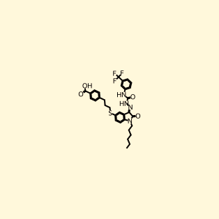 CCCCCCN1C(=O)/C(=N/NC(=O)Nc2cccc(C(F)(F)F)c2)c2cc(SCCCc3ccc(C(=O)O)cc3)ccc21